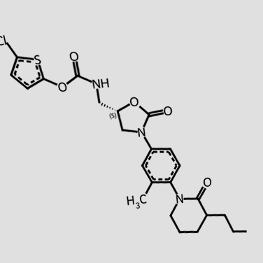 Cc1cc(N2C[C@H](CNC(=O)Oc3ccc(Cl)s3)OC2=O)ccc1N1CCCC(CCO)C1=O